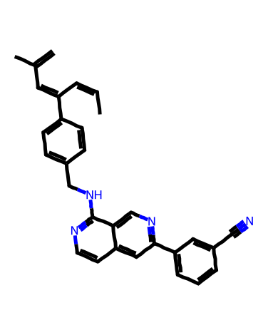 C=C(C)/C=C(\C=C/C)c1ccc(CNc2nccc3cc(-c4cccc(C#N)c4)ncc23)cc1